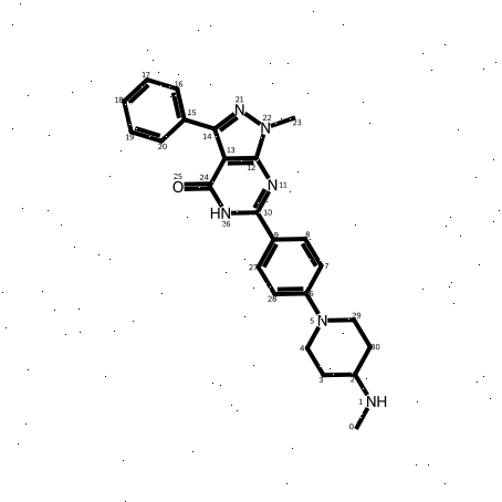 CNC1CCN(c2ccc(-c3nc4c(c(-c5ccccc5)nn4C)c(=O)[nH]3)cc2)CC1